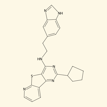 c1cnc2sc3c(NCCc4ccc5[nH]cnc5c4)nc(C4CCCC4)nc3c2c1